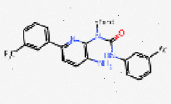 CCCCCN(C(=O)Nc1cccc(C(C)=O)c1)c1nc(-c2cccc(C(F)(F)F)c2)ccc1N